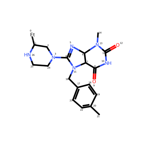 CCC1CN(C2=NC3C(C(=O)NC(=O)N3C)N2Cc2ccc(C)cc2)CCN1